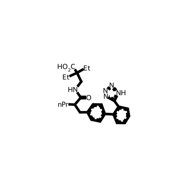 CCCC(Cc1ccc(-c2ccccc2-c2nnn[nH]2)cc1)C(=O)NCC(CC)(CC)C(=O)O